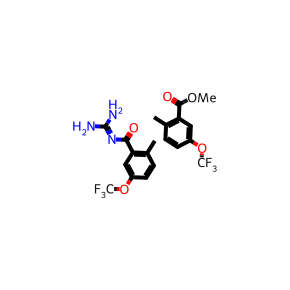 COC(=O)c1cc(OC(F)(F)F)ccc1C.Cc1ccc(OC(F)(F)F)cc1C(=O)N=C(N)N